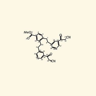 COC(=O)c1ccc(CCc2cncc(C(=O)CC#N)c2)c(CCc2cncc(C(=O)CC#N)c2)c1